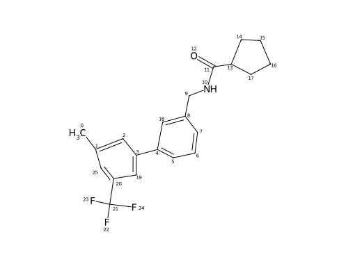 Cc1cc(-c2cccc(CNC(=O)C3CCCC3)c2)cc(C(F)(F)F)c1